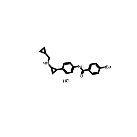 CC(C)(C)c1ccc(C(=O)Nc2ccc(C3CC3NCC3CC3)cc2)cc1.Cl